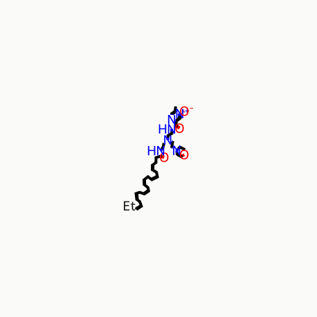 CC/C=C\C/C=C\C/C=C\C/C=C\C/C=C\C/C=C\CCC(=O)NCCN(CCNC(=O)c1c[n+]([O-])c(C)cn1)CCN1CCOCC1